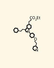 CCOC(=O)CCc1ccc2c(c1)c(CCc1ccccc1)cn2-c1ccc(OCCc2cccnc2)cc1